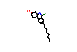 CCCCCCCCc1ccc2c(c1)c(F)nc1cc(O)ccc12